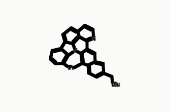 Cc1c2ccc(CC(C)(C)C)cc2cc2c3nccc4ccc5c6cccc(C(C)C)c6n(c12)c5c43